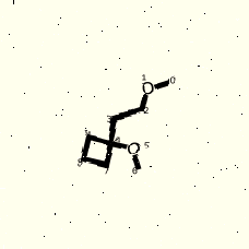 COCCC1(OC)CCC1